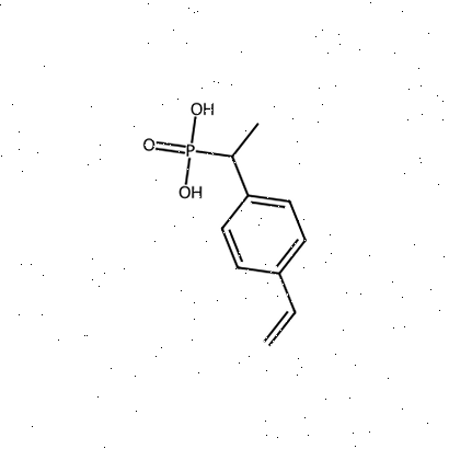 C=Cc1ccc(C(C)P(=O)(O)O)cc1